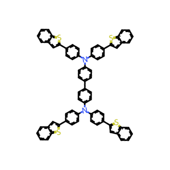 c1ccc2sc(-c3ccc(N(c4ccc(-c5ccc(N(c6ccc(-c7cc8ccccc8s7)cc6)c6ccc(-c7cc8ccccc8s7)cc6)cc5)cc4)c4ccc(-c5cc6ccccc6s5)cc4)cc3)cc2c1